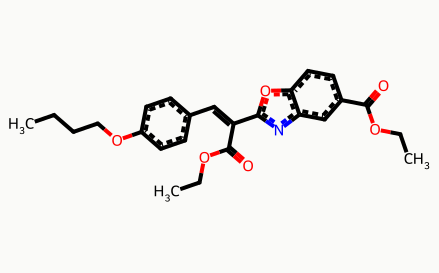 CCCCOc1ccc(C=C(C(=O)OCC)c2nc3cc(C(=O)OCC)ccc3o2)cc1